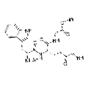 CC(=O)N[C@@H](Cc1c[nH]c2ccccc12)C(=O)N[C@@H](CCC(=O)C=N)C(=O)NCC(=O)OC(C)C